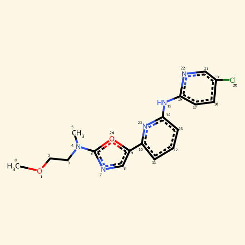 COCCN(C)c1ncc(-c2cccc(Nc3ccc(Cl)cn3)n2)o1